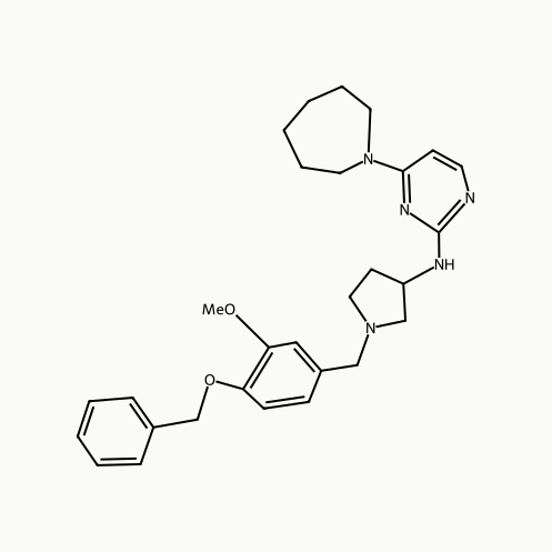 COc1cc(CN2CCC(Nc3nccc(N4CCCCCC4)n3)C2)ccc1OCc1ccccc1